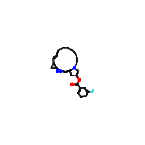 O=C(OC1CC2CNC3CC3/C=C/CCCCCCCN2C1)c1cccc(F)c1